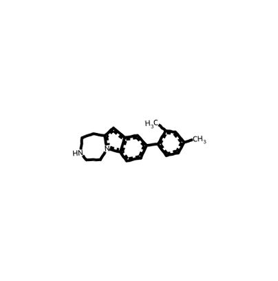 Cc1ccc(-c2ccc3c(c2)cc2n3CCNCC2)c(C)c1